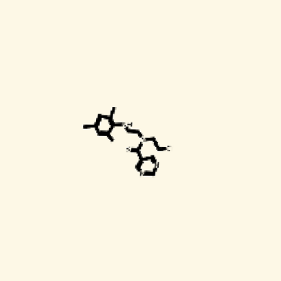 Cc1cc(C)c(NCCN(CCCl)C(=S)c2cncnc2)c(C)c1